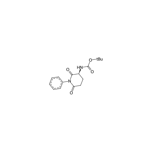 CC(C)(C)OC(=O)N[C@H]1CCC(=O)N(c2ccccc2)C1=O